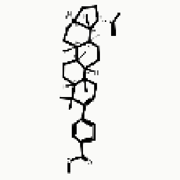 C=C(C)[C@H]1CC[C@]2(N)CC[C@]3(C)[C@H](CC[C@@H]4C5(C)CC=C(c6ccc(C(=O)OC)cc6)C(C)(C)[C@@H]5CC[C@]43C)[C@@H]12